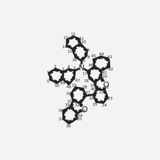 c1ccc2cc(N(c3ccc4ccccc4c3)c3cc4c(oc5cccc(-c6cccc7c6oc6ccccc67)c54)c4ccccc34)ccc2c1